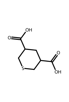 O=C(O)C1CSCC(C(=O)O)C1